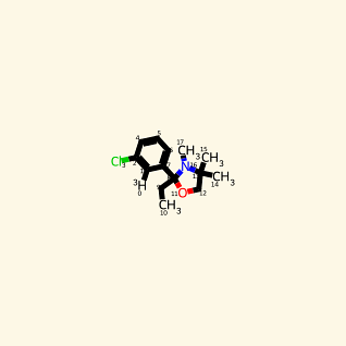 [3H]c1c(Cl)cccc1C1(CC)OCC(C)(C)N1C